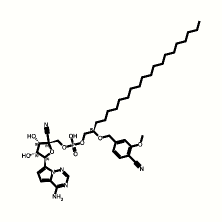 CCCCCCCCCCCCCCCCCCC[C@H](COP(=O)(O)OC[C@@]1(C#N)O[C@@H](c2ccc3c(N)ncnn23)[C@H](O)[C@@H]1O)OCc1ccc(C#N)c(OC)c1